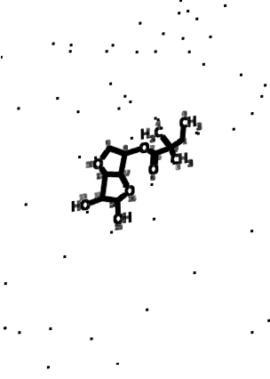 CCC(C)(C)C(=O)OC1COC2C(O)C(O)OC12